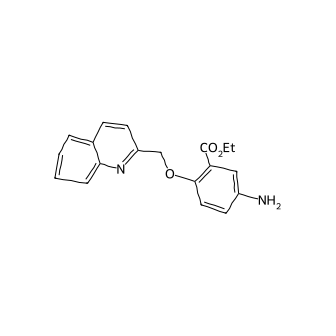 CCOC(=O)c1cc(N)ccc1OCc1ccc2ccccc2n1